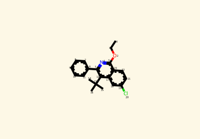 CCOc1nc(-c2ccccc2)c(C(C)(C)C)c2cc(Cl)ccc12